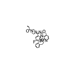 C=CC(=O)N1CCN(c2nc(=O)n(-c3c(C)ccnc3C(C)C)c3c4c(c(F)cc23)-c2ccccc2CCO4)CC1